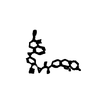 CN1CCN(Cc2ccc(C(=O)N[C@H]3C[C@@H]3c3cc(Oc4ccnc5c4CCC(=O)N5)ccc3O)cc2C(F)(F)F)CC1